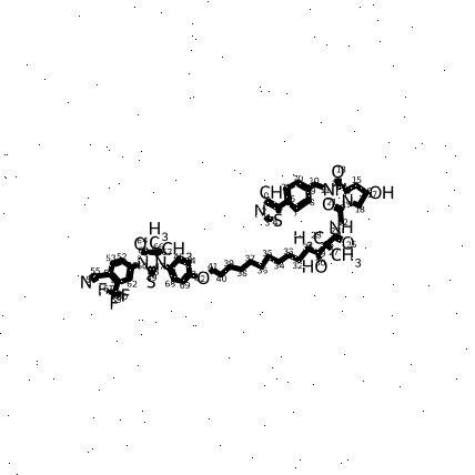 Cc1ncsc1-c1ccc(CNC(=O)C2C[C@H](O)CN2C(=O)CNC(=O)C(C)(C)C(O)CCCCCCCCCCCOc2ccc(N3C(=S)N(c4ccc(C#N)c(C(F)(F)F)c4)C(=O)C3(C)C)cc2)cc1